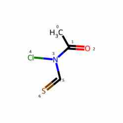 CC(=O)N(Cl)[C]=S